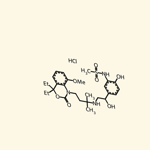 CCC1(CC)OC(=O)N(CCC(C)(C)NCC(O)c2ccc(O)c(NS(C)(=O)=O)c2)c2c(OC)cccc21.Cl